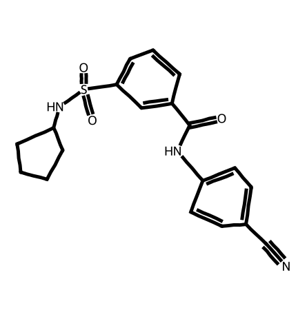 N#Cc1ccc(NC(=O)c2cccc(S(=O)(=O)NC3CCCC3)c2)cc1